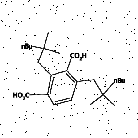 CCCCC(C)(C)Cc1ccc(C(=O)O)c(CC(C)(C)CCCC)c1C(=O)O